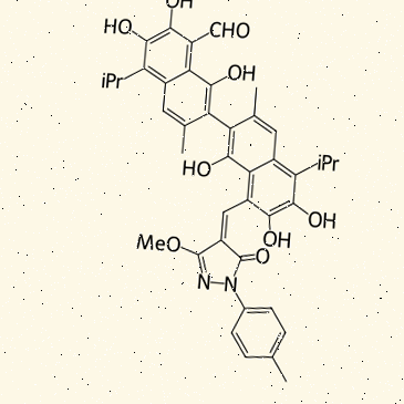 COC1=NN(c2ccc(C)cc2)C(=O)/C1=C\c1c(O)c(O)c(C(C)C)c2cc(C)c(-c3c(C)cc4c(C(C)C)c(O)c(O)c(C=O)c4c3O)c(O)c12